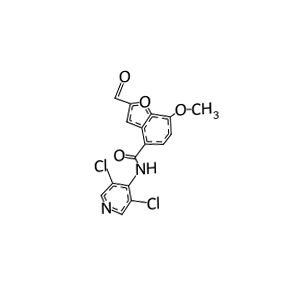 COc1ccc(C(=O)Nc2c(Cl)cncc2Cl)c2cc(C=O)oc12